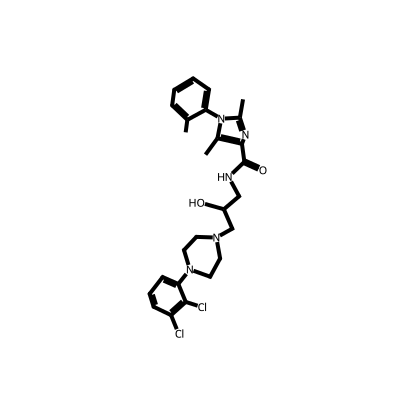 Cc1ccccc1-n1c(C)nc(C(=O)NCC(O)CN2CCN(c3cccc(Cl)c3Cl)CC2)c1C